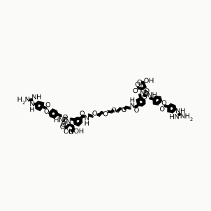 N=C(N)Nc1ccc(C(=O)Oc2ccc(CNS(=O)(=O)N(Cc3cccc(C(=O)NCCOCCOCCOCCOCCNC(=O)c4cccc(CN(C(CC(=O)O)C(=O)O)S(=O)(=O)NCc5ccc(OC(=O)c6ccc(NC(=N)N)cc6)cc5)c4)c3)C(CC(=O)O)C(=O)O)cc2)cc1